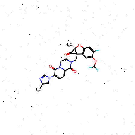 Cc1cn(-c2ccc3n(c2=O)CCN(C[C@]24C(=O)[C@@]2(C)Oc2cc(F)c(OC(F)F)cc24)C3=O)cn1